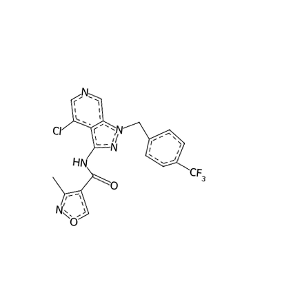 Cc1nocc1C(=O)Nc1nn(Cc2ccc(C(F)(F)F)cc2)c2cncc(Cl)c12